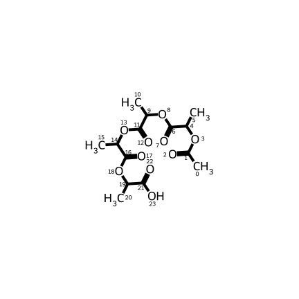 CC(=O)OC(C)C(=O)OC(C)C(=O)OC(C)C(=O)OC(C)C(=O)O